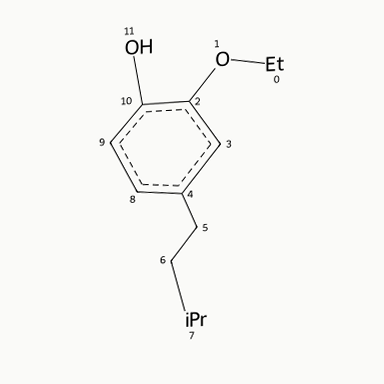 CCOc1cc(CCC(C)C)ccc1O